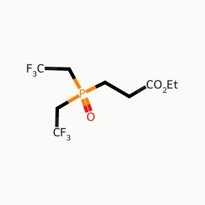 CCOC(=O)CCP(=O)(CC(F)(F)F)CC(F)(F)F